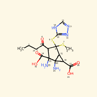 CCCC(=O)C1C(SC)(Sc2nnc[nH]2)C2C(C(=O)O)C2(N)C1(N)C(=O)O